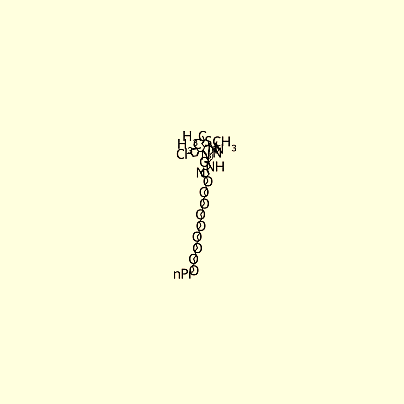 CCCOCCOCCOCCOCCOCCOCCOCCOCCOc1cncc(NC(=O)C[C@@H]2N=C(c3ccc(Cl)cc3)c3c(sc(C)c3C)-n3c(C)nnc32)c1